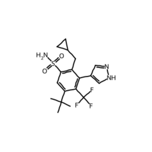 CC(C)(C)c1cc(S(N)(=O)=O)c(CC2CC2)c(-c2cn[nH]c2)c1C(F)(F)F